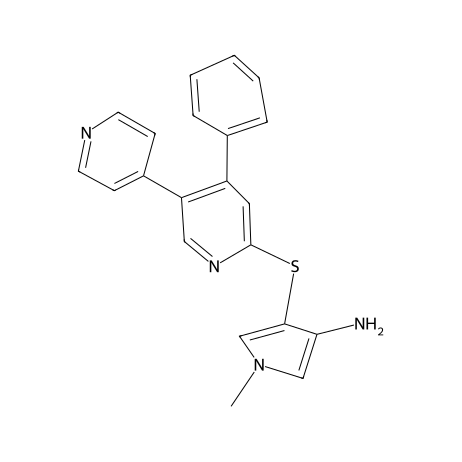 Cn1cc(N)c(Sc2cc(-c3ccccc3)c(-c3ccncc3)cn2)c1